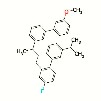 COc1cccc(-c2cccc(C(C)CCc3cc(F)ccc3-c3cccc(C(C)C)c3)c2)c1